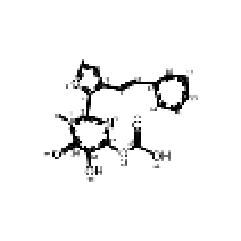 Cn1c(-c2occc2/C=C/c2ccccc2)nc(OC(=O)O)c(O)c1=O